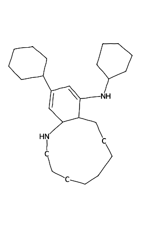 C1=C(C2CCCCC2)C=C(NC2CCCCC2)C2CCCCCCCCNC12